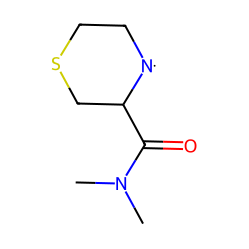 CN(C)C(=O)C1CSCC[N]1